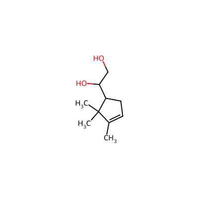 CC1=CCC(C(O)CO)C1(C)C